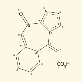 O=C(O)C=C1c2ccsc2C(=O)C=C2C=CC=CC21